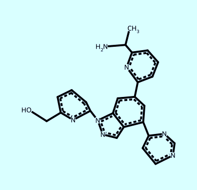 CC(N)c1cccc(-c2cc(-c3ccncn3)c3cnn(-c4cccc(CO)n4)c3c2)n1